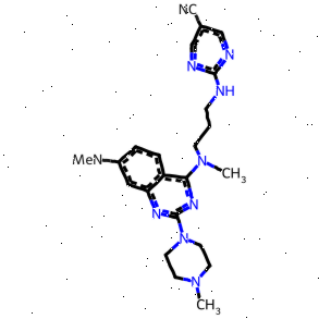 CNc1ccc2c(N(C)CCCNc3ncc(C#N)cn3)nc(N3CCN(C)CC3)nc2c1